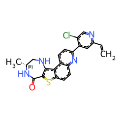 C=Cc1cc(-c2ccc3c(ccc4sc5c(c43)NC[C@@H](C)NC5=O)n2)c(Cl)cn1